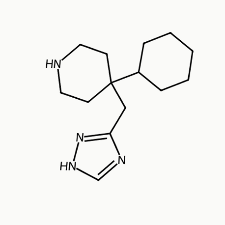 c1nc(CC2(C3CCCCC3)CCNCC2)n[nH]1